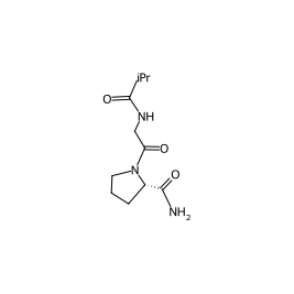 CC(C)C(=O)NCC(=O)N1CCC[C@H]1C(N)=O